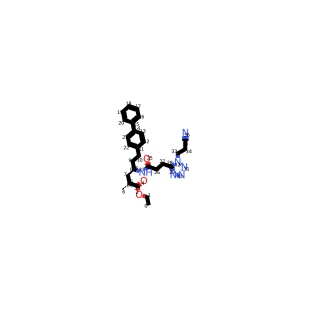 CCOC(=O)[C@H](C)C[C@@H](CCc1ccc(-c2ccccc2)cc1)NC(=O)CCc1nnnn1CCC#N